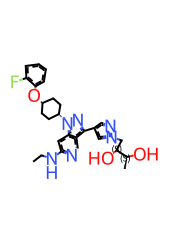 CCNc1cc2c(cn1)c(-c1cnn(C[C@H](O)[C@H](C)O)c1)nn2[C@H]1CC[C@@H](Oc2ccccc2F)CC1